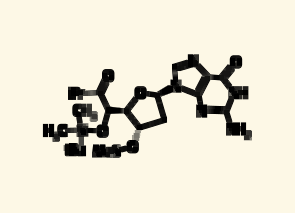 CSO[C@H]1C[C@H](n2cnc3c(=O)[nH]c(N)nc32)O[C@@H]1C(O[Si](C)(C)C(C)(C)C)C(=O)C(C)C